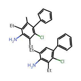 CCc1c(C)c(-c2ccccc2)c(Cl)c(CC)c1N.CCc1cc(-c2ccccc2)c(Cl)c(CC)c1N